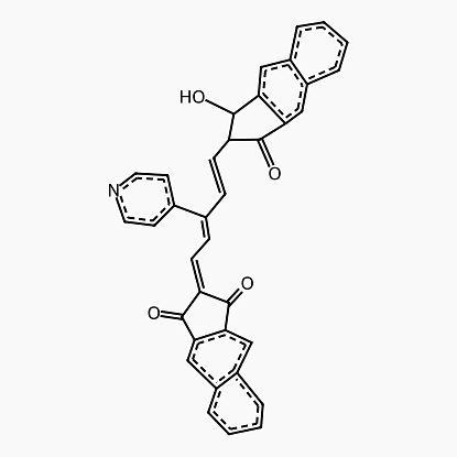 O=C1C(=C/C=C(/C=C/C2C(=O)c3cc4ccccc4cc3C2O)c2ccncc2)C(=O)c2cc3ccccc3cc21